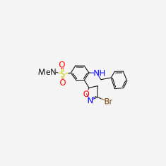 CNS(=O)(=O)c1ccc(NCc2ccccc2)c(C2CC(Br)=NO2)c1